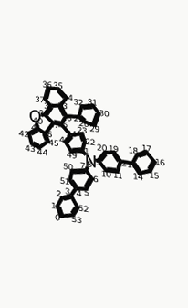 c1ccc(-c2ccc(N(c3ccc(-c4ccccc4)cc3)c3ccc(-c4c(-c5ccccc5)c5ccccc5c5oc6ccccc6c45)cc3)cc2)cc1